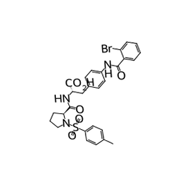 Cc1ccc(S(=O)(=O)N2CCC[C@H]2C(=O)N[C@@H](Cc2ccc(NC(=O)c3ccccc3Br)cc2)C(=O)O)cc1